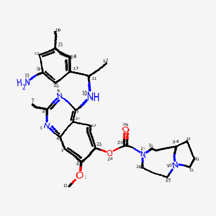 COc1cc2nc(C)nc(NC(C)c3cc(C)cc(N)c3)c2cc1OC(=O)N1CCN2CCCC2C1